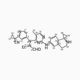 CCN(C=O)N(c1ccnc(C2(C#N)CC2)c1)c1nc(Nc2ccc3c(c2)CCNC32CC2)ncc1C